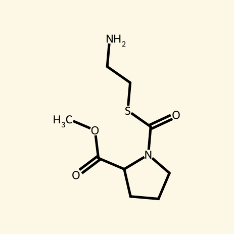 COC(=O)C1CCCN1C(=O)SCCN